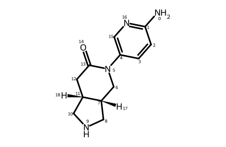 Nc1ccc(N2C[C@@H]3CNC[C@@H]3CC2=O)cn1